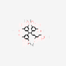 C=C(COC)/C(O)=C(\C=C(/C)C(c1cc(COC)c(O)c(COC)c1)C(c1cc(COC)c(O)c(COC)c1)c1cc(COC)c(O)c(COC)c1)COC